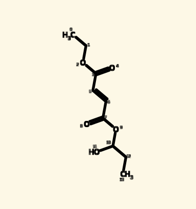 CCOC(=O)C=CC(=O)OC(O)CC